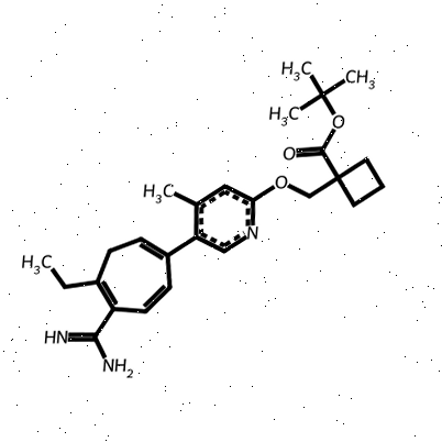 CCC1=C(C(=N)N)C=CC(c2cnc(OCC3(C(=O)OC(C)(C)C)CCC3)cc2C)=CC1